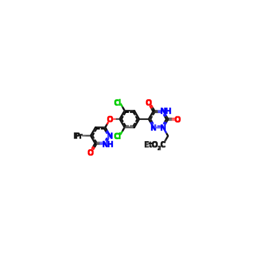 CCOC(=O)Cn1nc(-c2cc(Cl)c(Oc3cc(C(C)C)c(=O)[nH]n3)c(Cl)c2)c(=O)[nH]c1=O